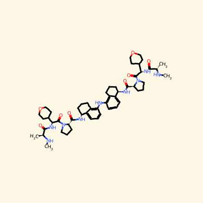 CN[C@@H](C)C(=O)N[C@H](C(=O)N1CCC[C@H]1C(=O)N[C@@H]1CCCc2c(Nc3cccc4c3CCC[C@H]4NC(=O)[C@@H]3CCCN3C(=O)[C@@H](NC(=O)[C@H](C)NC)C3CCOCC3)cccc21)C1CCOCC1